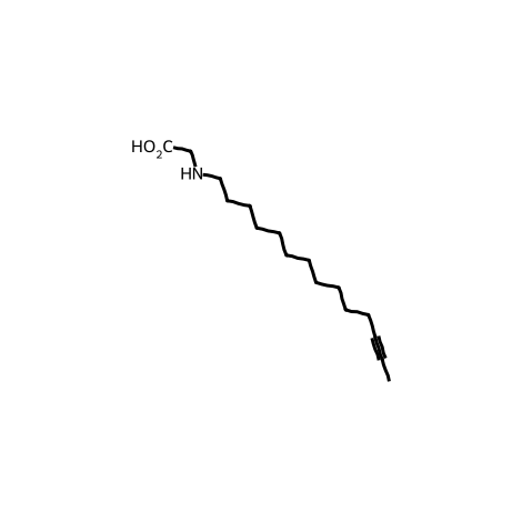 CC#CCCCCCCCCCCCNCC(=O)O